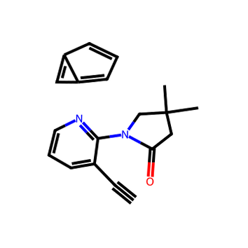 C#Cc1cccnc1N1CC(C)(C)CC1=O.c1cc2cc-2c1